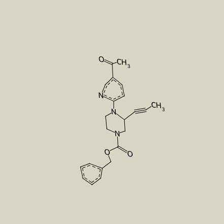 CC#CC1CN(C(=O)OCc2ccccc2)CCN1c1ccc(C(C)=O)cn1